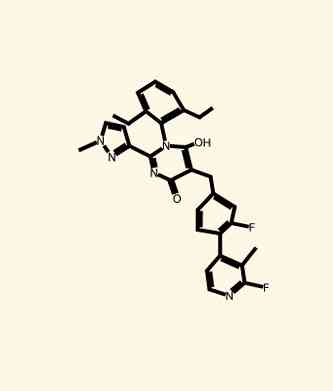 CCc1cccc(CC)c1-n1c(-c2ccn(C)n2)nc(=O)c(Cc2ccc(-c3ccnc(F)c3C)c(F)c2)c1O